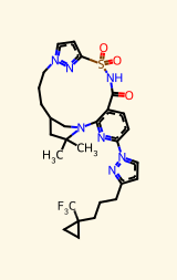 CC1(C)CC2CCCn3ccc(n3)S(=O)(=O)NC(=O)c3ccc(-n4ccc(CCCC5(C(F)(F)F)CC5)n4)nc3N1C2